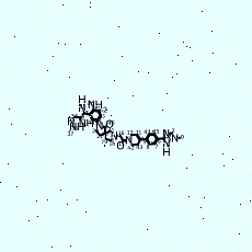 CN/C=N\C(=N)c1ccc(C2=CCN(C(=O)CN3CC[C@]4(CCN(c5ccc(N)c(C(=N)C(=N)/C=N\NC)c5)C4=O)C3)CC2)cc1